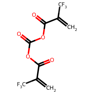 C=C(C(=O)OC(=O)OC(=O)C(=C)C(F)(F)F)C(F)(F)F